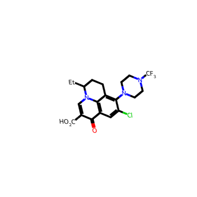 CCC1CCc2c(N3CCN(C(F)(F)F)CC3)c(Cl)cc3c(=O)c(C(=O)O)cn1c23